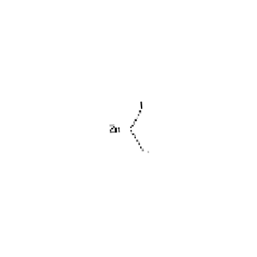 [CH2]CF.[Zn]